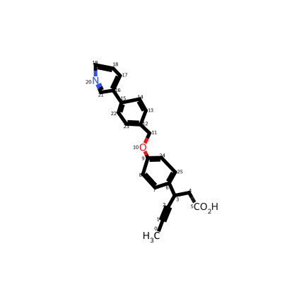 CC#CC(CC(=O)O)c1ccc(OCc2ccc(-c3cccnc3)cc2)cc1